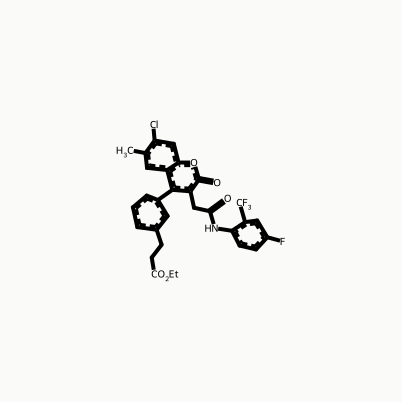 CCOC(=O)CCc1cccc(-c2c(CC(=O)Nc3ccc(F)cc3C(F)(F)F)c(=O)oc3cc(Cl)c(C)cc23)c1